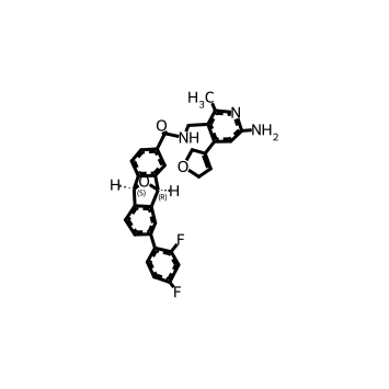 Cc1nc(N)cc(C2=CCOC2)c1CNC(=O)c1ccc2c(c1)[C@@H]1O[C@H]2c2ccc(-c3ccc(F)cc3F)cc21